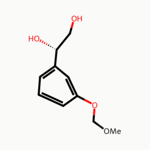 COCOc1cccc([C@H](O)CO)c1